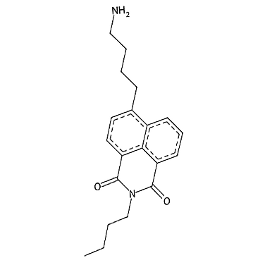 CCCCN1C(=O)c2cccc3c(CCCCN)ccc(c23)C1=O